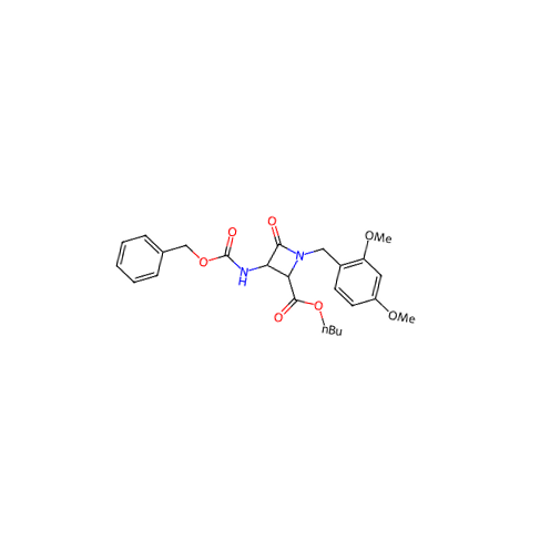 CCCCOC(=O)C1C(NC(=O)OCc2ccccc2)C(=O)N1Cc1ccc(OC)cc1OC